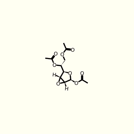 CC(=O)OC[C@@H](OC(C)=O)[C@H]1O[C@@H](OC(C)=O)[C@@H]2O[C@@H]21